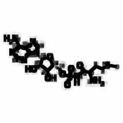 CSCCC(N)C(=O)NS(=O)(=O)OC[C@H]1O[C@@H](n2cnc3c(N)ncnc32)[C@H](O)[C@@H]1O